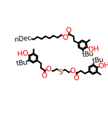 CCCCCCCCCCCCCCCCCCOC(=O)CCc1cc(C)c(O)c(C(C)(C)C)c1.Cc1cc(CCC(=O)OCCSCCOC(=O)CCc2cc(C)c(O)c(C(C)(C)C)c2)cc(C(C)(C)C)c1O